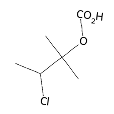 CC(Cl)C(C)(C)OC(=O)O